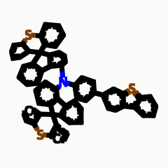 C1=CC2Sc3ccccc3C3(c4ccccc4-c4c(N(c5ccc(-c6ccc7c(c6)sc6ccccc67)cc5)c5cccc6c5-c5ccccc5C65c6ccccc6Sc6ccccc65)cccc43)C2C=C1